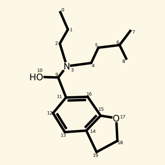 CCCN(CCC(C)C)C(O)c1ccc2c(c1)OCC2